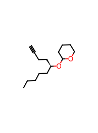 C#CCC[C@H](CCCCC)OC1CCCCO1